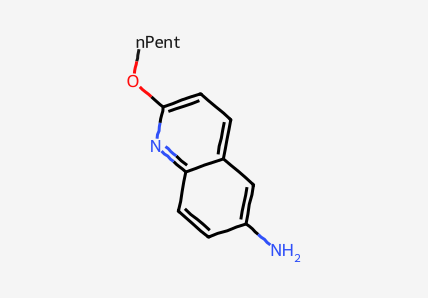 CCCCCOc1ccc2cc(N)ccc2n1